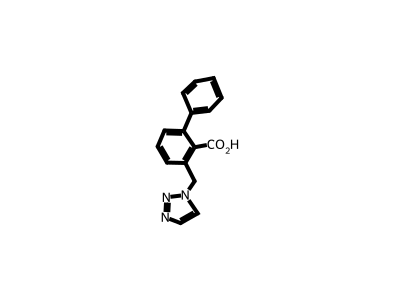 O=C(O)c1c(Cn2ccnn2)cccc1-c1ccccc1